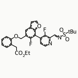 CCOC(=O)Cc1ccccc1OCc1cc2ccoc2c(-c2ccnc(C=NS(=O)(=O)C(C)(C)C)c2F)c1F